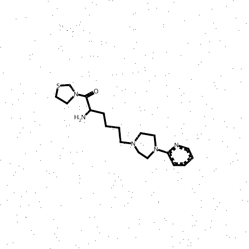 NC(CCCCN1CCN(c2ccccn2)CC1)C(=O)N1CCSC1